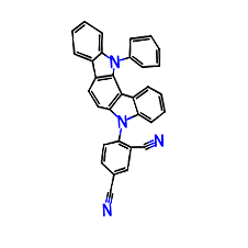 N#Cc1ccc(-n2c3ccccc3c3c2ccc2c4ccccc4n(-c4ccccc4)c23)c(C#N)c1